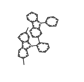 Cc1ccc2c3ccc(C)cc3n(-c3ccccc3-c3ccc4c5ccccc5n(-c5ccccc5)c4c3)c2c1